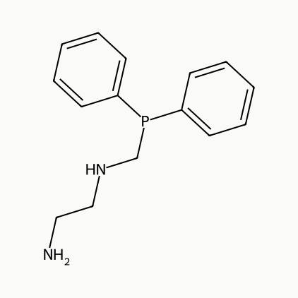 NCCNCP(c1ccccc1)c1ccccc1